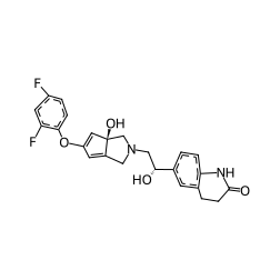 O=C1CCc2cc([C@H](O)CN3CC4=CC(Oc5ccc(F)cc5F)=C[C@]4(O)C3)ccc2N1